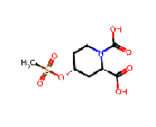 CS(=O)(=O)O[C@@H]1CCN(C(=O)O)[C@@H](C(=O)O)C1